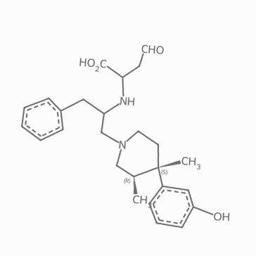 C[C@H]1CN(CC(Cc2ccccc2)NC(CC=O)C(=O)O)CC[C@]1(C)c1cccc(O)c1